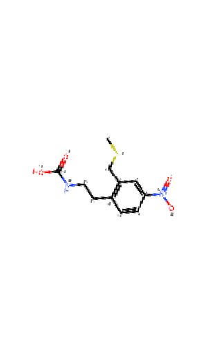 CSCc1cc([N+](=O)[O-])ccc1CCNC(=O)O